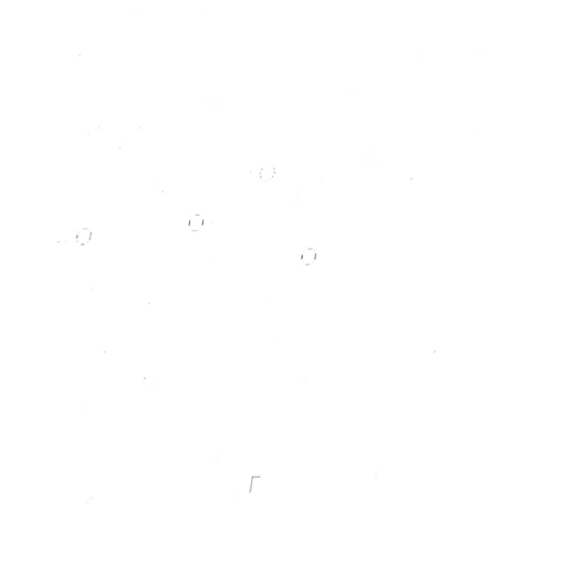 Cc1cccc(F)c1C1C(OC(=O)c2ccccc2)C(OC(=O)c2ccccc2)C(C)C2(C)C=CC=CC12